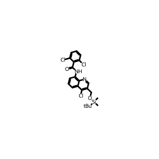 CC(C)(C)[Si](C)(C)OCc1cnc2c(NC(=O)c3c(Cl)cccc3Cl)cccc2c1Cl